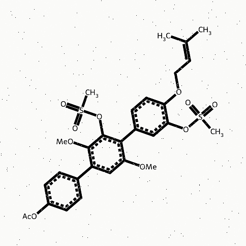 COc1cc(-c2ccc(OC(C)=O)cc2)c(OC)c(OS(C)(=O)=O)c1-c1ccc(OCC=C(C)C)c(OS(C)(=O)=O)c1